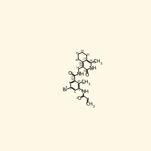 C=CC(=O)Nc1cc(Br)cc(C(=O)NCc2c3c(c(C)[nH]c2=O)CCCC3)c1C